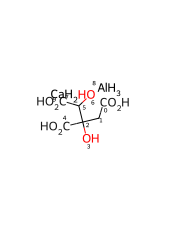 O=C(O)CC(O)(C(=O)O)C(O)C(=O)O.[AlH3].[CaH2]